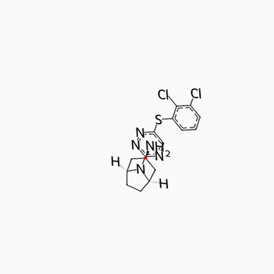 N[C@H]1C[C@H]2CC[C@@H](C1)N2c1ncc(Sc2cccc(Cl)c2Cl)nn1